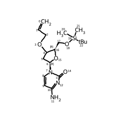 C=CCOC1C[C@H](n2ccc(N)nc2=O)O[C@@H]1CO[Si](C)(C)C(C)(C)C